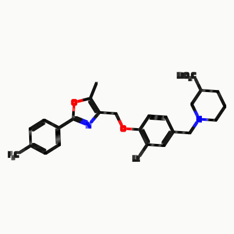 CCOC(=O)C1CCCN(Cc2ccc(OCc3nc(-c4ccc(C(F)(F)F)cc4)oc3C)c(CC)c2)C1